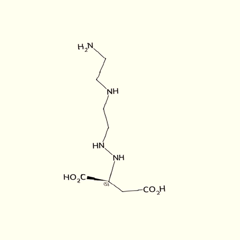 NCCNCCNN[C@@H](CC(=O)O)C(=O)O